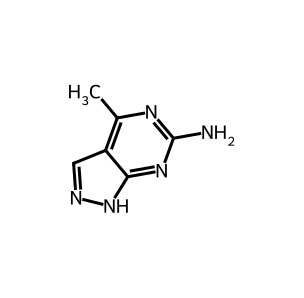 Cc1nc(N)nc2[nH]ncc12